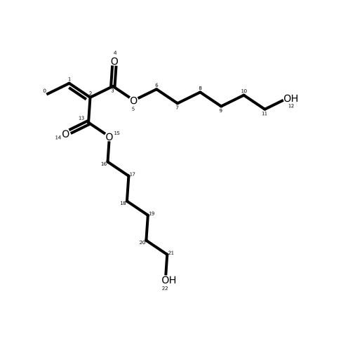 CC=C(C(=O)OCCCCCCO)C(=O)OCCCCCCO